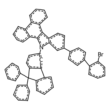 Brc1ccccc1-c1ccc(-c2ccc3c4c5ccccc5c5ccccc5c4n(-c4ccc5c(c4)-c4ccccc4C5(c4ccccc4)c4ccccc4)c3c2)cc1